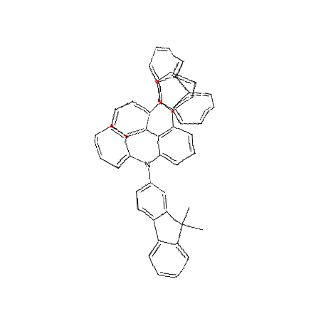 CC1(C)c2ccccc2-c2ccc(N(c3ccccc3)c3cccc(-c4ccccc4)c3-c3ccccc3-n3c4ccccc4c4ccccc43)cc21